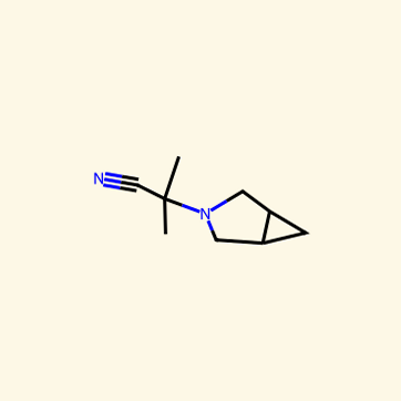 CC(C)(C#N)N1CC2CC2C1